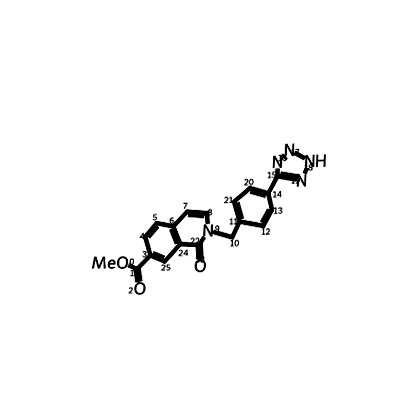 COC(=O)c1ccc2ccn(Cc3ccc(-c4nn[nH]n4)cc3)c(=O)c2c1